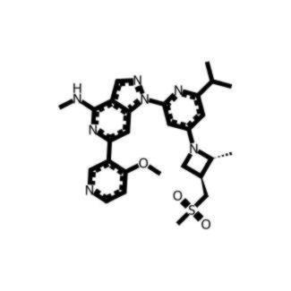 CNc1nc(-c2cnccc2OC)cc2c1cnn2-c1cc(N2C[C@H](CS(C)(=O)=O)[C@H]2C)cc(C(C)C)n1